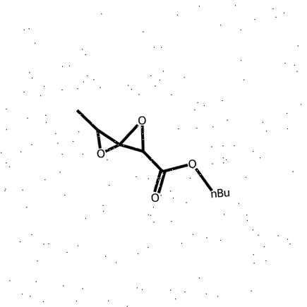 CCCCOC(=O)C1OC12OC2C